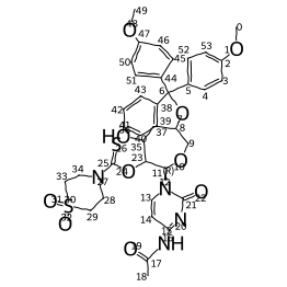 COc1ccc(C(OC2CO[C@@H](n3ccc(NC(C)=O)nc3=O)C(OC(=S)N3CCS(=O)(=O)CC3)C(O)C2)(c2ccccc2)c2ccc(OC)cc2)cc1